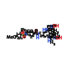 COc1ccc(S(=O)(=O)N(Cc2ccc(C(=O)NCCC(CCNC(C)(C)/C(C)=N/O)CCNC(C)(C)/C(C)=N/O)cc2)C(C(=O)O)C(C)C)cc1